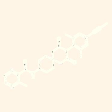 CC#Cc1cc(C)c(C2C(=O)CC3(CCC(NC(=O)c4nccnc4C)CC3)CC2=O)c(C)c1